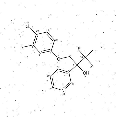 Cc1cc(OCC(O)(c2cccnc2)C(C)(C)C)ccc1Cl